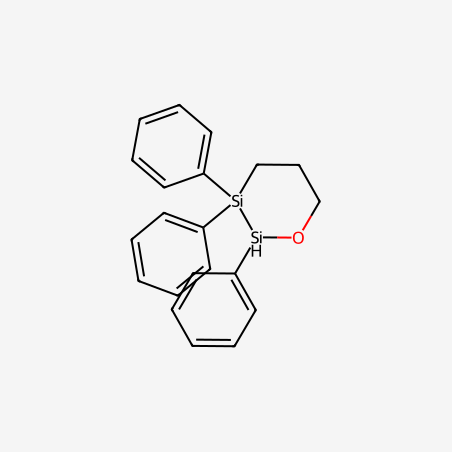 c1ccc([SiH]2OCCC[Si]2(c2ccccc2)c2ccccc2)cc1